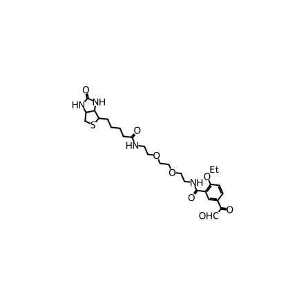 CCOc1ccc(C(=O)C=O)cc1C(=O)NCCOCCOCCNC(=O)CCCCC1SCC2NC(=O)NC21